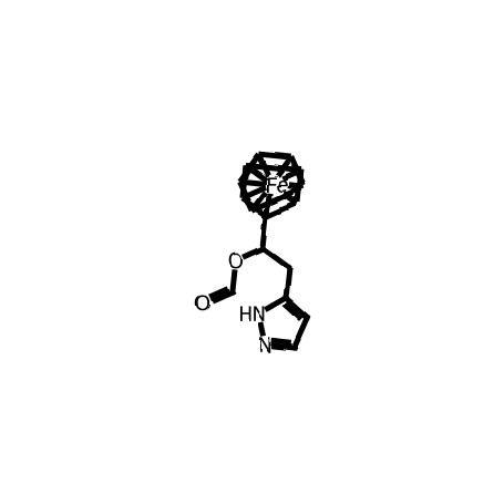 O=COC(Cc1ccn[nH]1)[C]12[CH]3[CH]4[CH]5[CH]1[Fe]45321678[CH]2[CH]1[CH]6[CH]7[CH]28